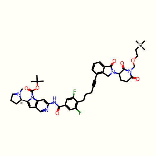 CN1CCC[C@@H]1c1cc2cnc(NC(=O)c3cc(F)c(CCCC#Cc4cccc5c4CN(C4CCC(=O)N(COCC[Si](C)(C)C)C4=O)C5=O)c(F)c3)cc2n1C(=O)OC(C)(C)C